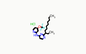 CCCCCCCCC(CC)c1nccc(Nc2cc(OC(F)(F)F)ccn2)n1.Cl